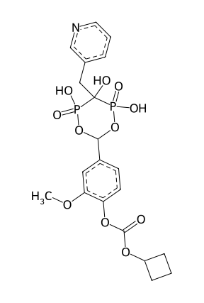 COc1cc(C2OP(=O)(O)C(O)(Cc3cccnc3)P(=O)(O)O2)ccc1OC(=O)OC1CCC1